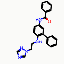 O=C(Nc1ccc(NCCn2cncn2)c(-c2ccccc2)c1)c1ccccc1